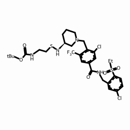 CCS(=O)(=O)c1ccc(Cl)cc1CNC(=O)c1cc(Cl)c(CN2CCC[C@H](NSCCNC(=O)OC(C)(C)C)C2)c(C(F)(F)F)c1